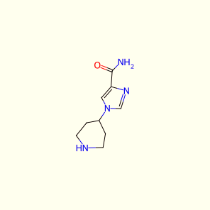 NC(=O)c1cn(C2CCNCC2)cn1